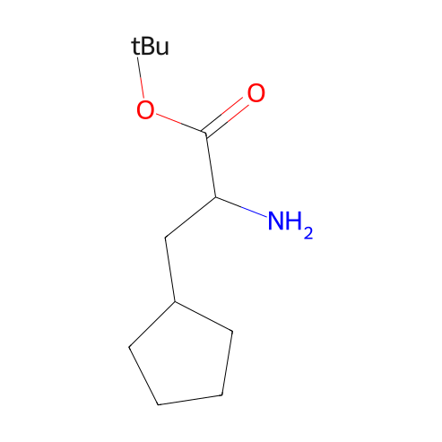 CC(C)(C)OC(=O)C(N)CC1CCCC1